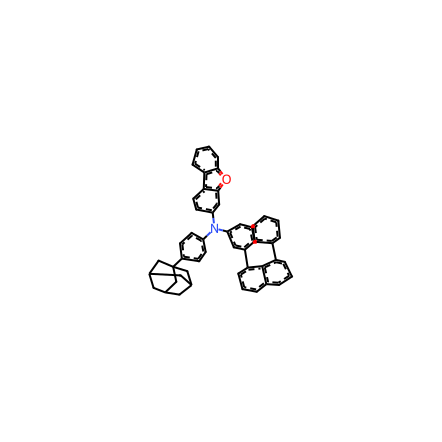 c1ccc(-c2cccc3cccc(-c4cccc(N(c5ccc(C67CC8CC(CC(C8)C6)C7)cc5)c5ccc6c(c5)oc5ccccc56)c4)c23)cc1